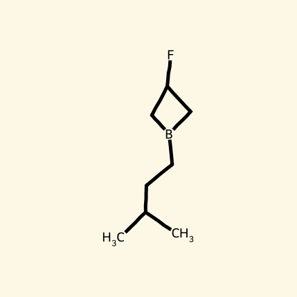 CC(C)CCB1CC(F)C1